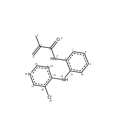 C=C(C)C(=O)Nc1ccccc1Nc1ncncc1Cl